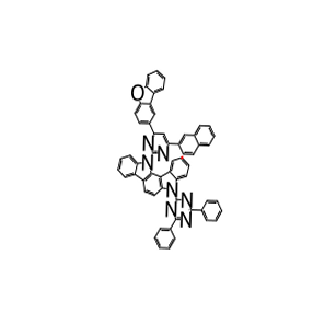 c1ccc(-c2nc(-c3ccccc3)nc(-n3c4ccccc4c4c3ccc3c5ccccc5n(-c5nc(-c6ccc7ccccc7c6)cc(-c6ccc7oc8ccccc8c7c6)n5)c34)n2)cc1